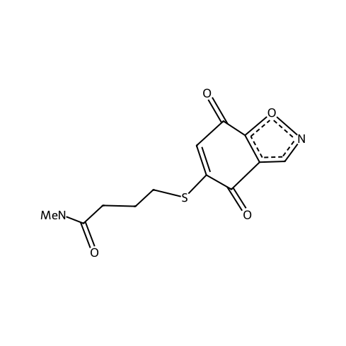 CNC(=O)CCCSC1=CC(=O)c2oncc2C1=O